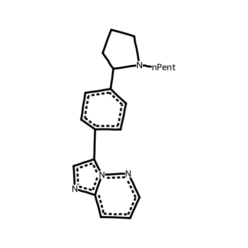 CCCCCN1CCCC1c1ccc(-c2cnc3cccnn23)cc1